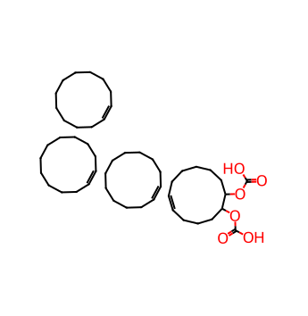 C1=C\CCCCCCCCCC/1.C1=C\CCCCCCCCCC/1.C1=C\CCCCCCCCCC/1.O=C(O)OC1CCC/C=C\CCCCCC1OC(=O)O